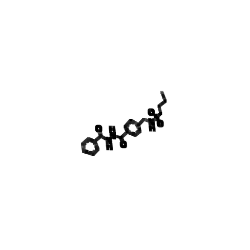 CCCCS(=O)(=O)NCc1ccc(C(=O)NNC(=O)c2ccccc2)cc1